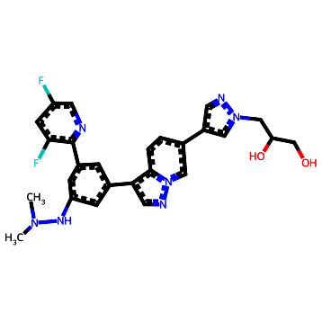 CN(C)Nc1cc(-c2ncc(F)cc2F)cc(-c2cnn3cc(-c4cnn(CC(O)CO)c4)ccc23)c1